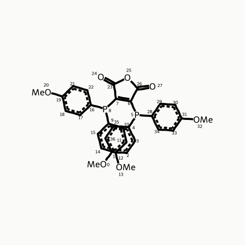 COc1ccc(P(C2=C(P(c3ccc(OC)cc3)c3ccc(OC)cc3)C(=O)OC2=O)c2ccc(OC)cc2)cc1